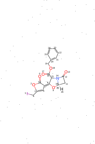 O=C1OC(CI)=CC1=C1O[C@@H]2CC(=O)N2C1C(=O)OCc1ccccc1